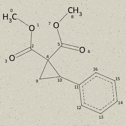 COC(=O)C1(C(=O)OC)CC1c1ccccc1